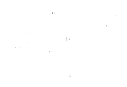 COc1cc(OC(=O)c2ccco2)ccc1-c1ccc2c(c1C(O)Cc1ccc(Br)s1)C(C)=CC(C)(C)N2